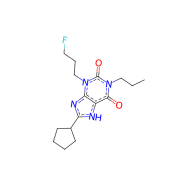 CCCn1c(=O)c2[nH]c(C3CCCC3)nc2n(CCCF)c1=O